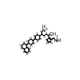 C=C(CCC(CN)C1CC=C(C2CCC(C3CCCC4C=CC=CC43)CC2)CC1)C1=C(C=N)C=C=C1